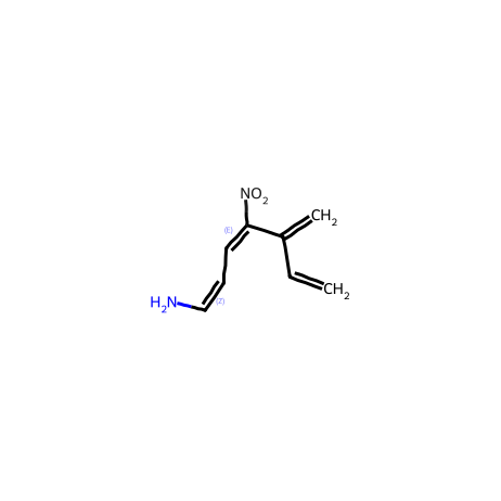 C=CC(=C)/C(=C\C=C/N)[N+](=O)[O-]